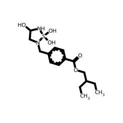 CCC(CC)COC(=O)c1ccc(CN2CC(O)NS2(O)O)cc1